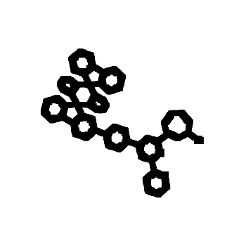 CCC1C=CC=CC(c2cc(-c3ccc(-c4ccc5c(c4)C4(c6ccccc6-5)c5ccccc5C5(c6ccccc6-c6ccccc65)c5ccccc54)cc3)cc(-c3ccccn3)n2)=C1